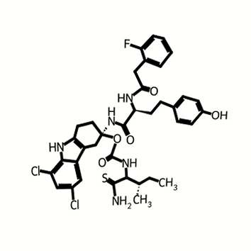 CC[C@H](C)C(NC(=O)O[C@]1(NC(=O)[C@H](CCc2ccc(O)cc2)NC(=O)Cc2ccccc2F)CCc2[nH]c3c(Cl)cc(Cl)cc3c2C1)C(N)=S